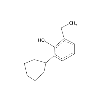 [CH2]Cc1cccc(C2CCCCC2)c1O